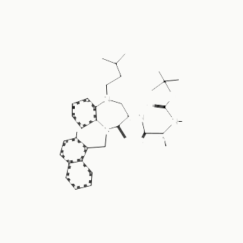 Cc1ccc2ccccc2c1CN1C(=O)[C@@H](NC(=O)[C@H](C)N(C)C(=O)OC(C)(C)C)CN(CCC(C)C)c2ccccc21